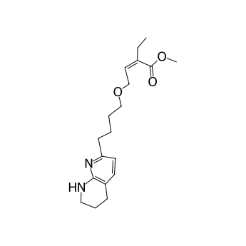 CC/C(=C/COCCCCc1ccc2c(n1)NCCC2)C(=O)OC